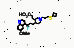 COc1ccc2nccc([C@@H](F)CCC3CCN(CCCSC4CCC4)CC3CCC(=O)O)c2c1